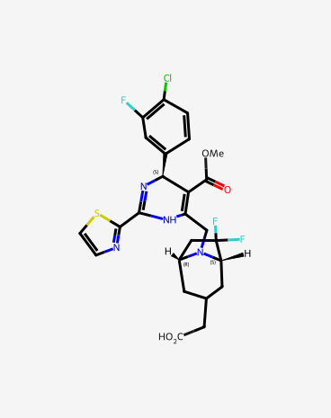 COC(=O)C1=C(CN2[C@@H]3CC(CC(=O)O)C[C@H]2C(F)(F)C3)NC(c2nccs2)=N[C@H]1c1ccc(Cl)c(F)c1